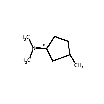 CC1CC[C@H](N(C)C)C1